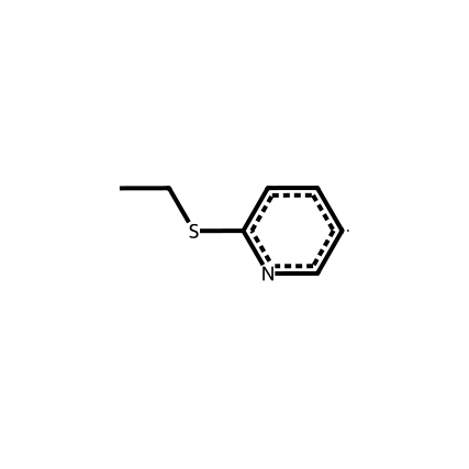 CCSc1cc[c]cn1